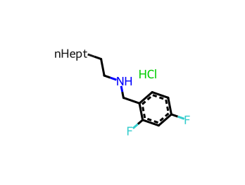 CCCCCCCCCNCc1ccc(F)cc1F.Cl